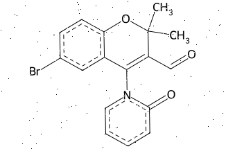 CC1(C)Oc2ccc(Br)cc2C(n2ccccc2=O)=C1C=O